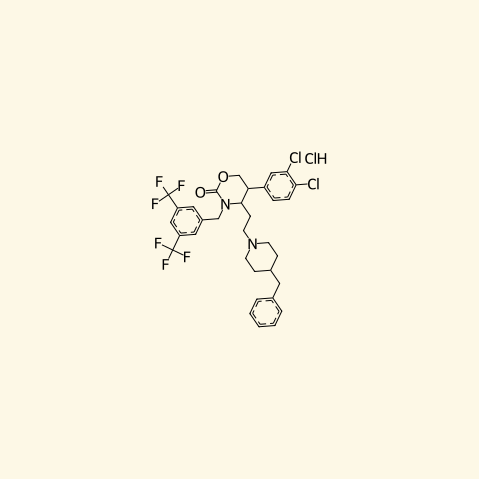 Cl.O=C1OCC(c2ccc(Cl)c(Cl)c2)C(CCN2CCC(Cc3ccccc3)CC2)N1Cc1cc(C(F)(F)F)cc(C(F)(F)F)c1